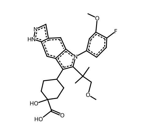 COCC(C)(C)c1c(C2CCC(O)(C(=O)O)CC2)c2cc3[nH]ncc3cc2n1-c1ccc(F)c(OC)c1